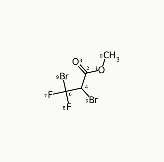 COC(=O)C(Br)C(F)(F)Br